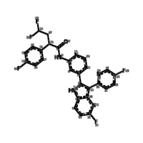 O=C(Nc1cc(-c2[nH]c3ccc(F)nc3c2-c2ccc(F)cn2)ccn1)C(CC(F)F)c1ccc(F)cc1